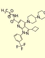 CS(=O)(=O)NC(=O)c1cc(N2CCC(N3CCOCC3)CC2)c2c(C3CCC3)nn(-c3cccc(C(F)(F)F)c3)c2n1